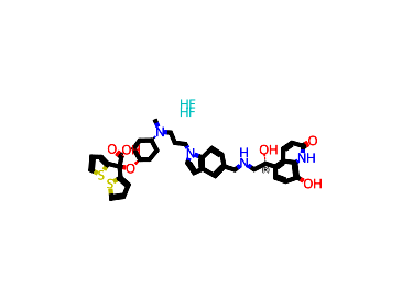 CN(CCCn1ccc2cc(CNC[C@H](O)c3ccc(O)c4[nH]c(=O)ccc34)ccc21)[C@H]1CC[C@H](OC(C(=O)O)(c2cccs2)c2cccs2)CC1.F.F